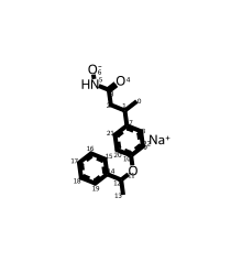 CC(CC(=O)N[O-])c1ccc(OC(C)c2ccccc2)cc1.[Na+]